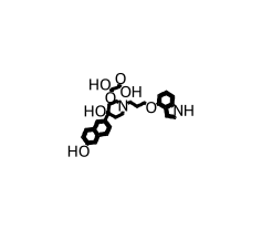 O=C(O)C(=O)O.Oc1ccc2cc(C3(O)CCN(CCCOc4cccc5[nH]ccc45)CC3)ccc2c1